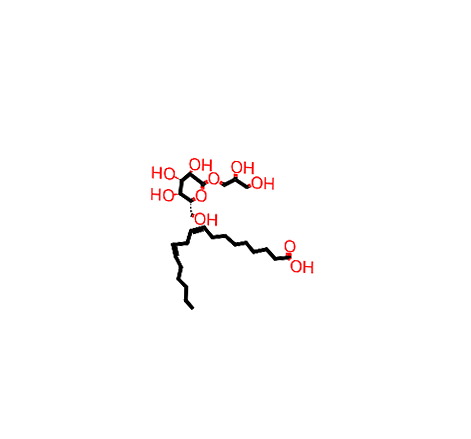 CCCCC/C=C\C/C=C\CCCCCCCC(=O)O.OCC(O)COC1O[C@H](CO)[C@H](O)[C@H](O)[C@H]1O